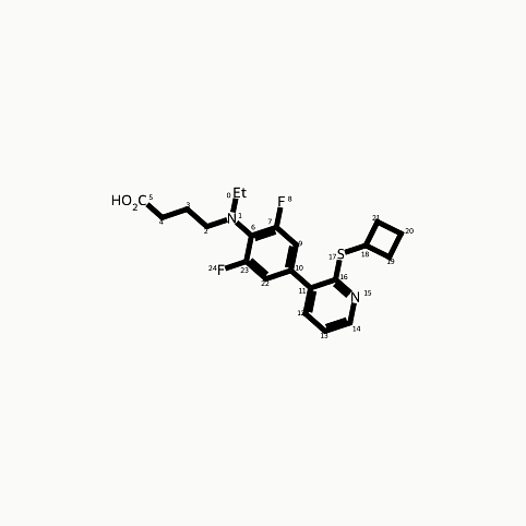 CCN(CCCC(=O)O)c1c(F)cc(-c2cccnc2SC2CCC2)cc1F